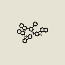 c1ccc(-c2cc(-c3ccc4ccccc4c3)cc(N(c3ccc4sc5c6ccccc6ccc5c4c3)c3ccc4c5ccccc5n(-c5ccc6ccccc6c5)c4c3)c2)cc1